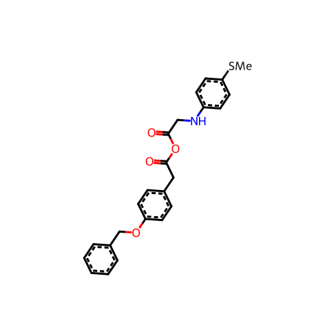 CSc1ccc(NCC(=O)OC(=O)Cc2ccc(OCc3ccccc3)cc2)cc1